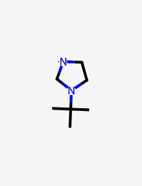 CC(C)(C)N1CC[N]C1